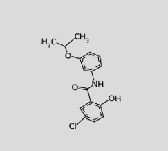 CC(C)Oc1cccc(NC(=O)c2cc(Cl)ccc2O)c1